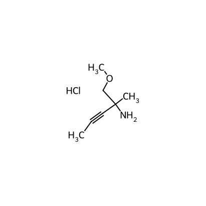 CC#CC(C)(N)COC.Cl